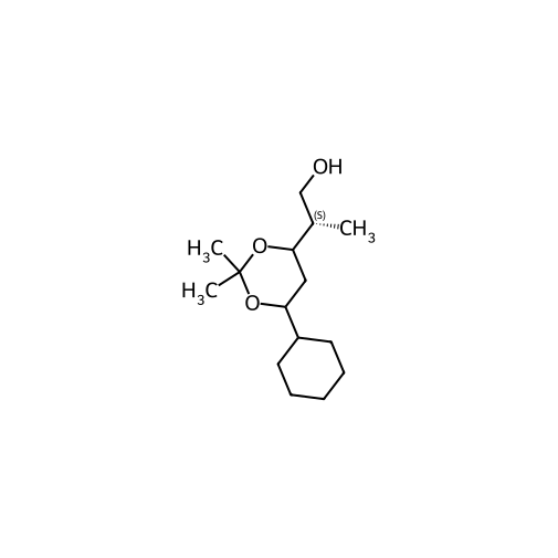 C[C@@H](CO)C1CC(C2CCCCC2)OC(C)(C)O1